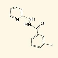 O=C(NNc1ccccn1)c1cccc(I)c1